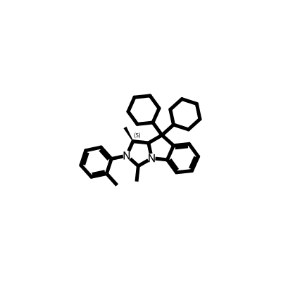 Cc1ccccc1N1C(C)N2c3ccccc3C(C3CCCCC3)(C3CCCCC3)C2[C@@H]1C